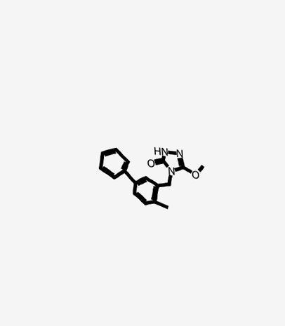 COc1n[nH]c(=O)n1Cc1cc(-c2ccccc2)ccc1C